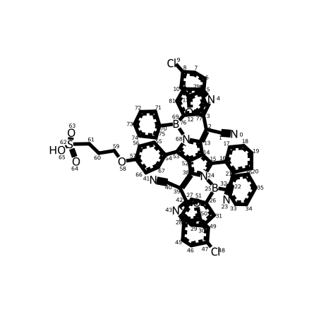 N#C/C(c1nc2ccc(Cl)cc2o1)=c1\c2c(-c3ccccc3C#N)n(B(c3ccccc3)c3ccccc3)/c(=C(/C#N)c3nc4ccc(Cl)cc4o3)c2c(-c2ccc(OCCCS(=O)(=O)O)cc2)n1B(c1ccccc1)c1ccccc1